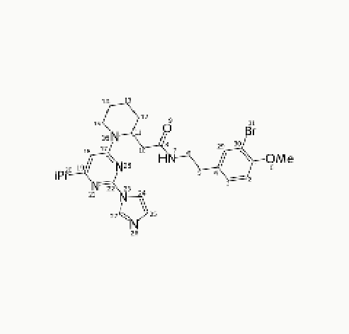 COc1ccc(CCNC(=O)CC2CCCCN2c2cc(C(C)C)nc(-n3ccnc3)n2)cc1Br